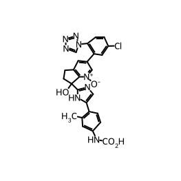 Cc1cc(NC(=O)O)ccc1-c1cnc(C2(O)CCc3cc(-c4cc(Cl)ccc4-n4cnnn4)c[n+]([O-])c32)[nH]1